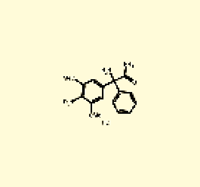 COc1cc(C(N)(C(N)=O)c2ccccc2)cc(OC)c1[N+](=O)[O-].Cl